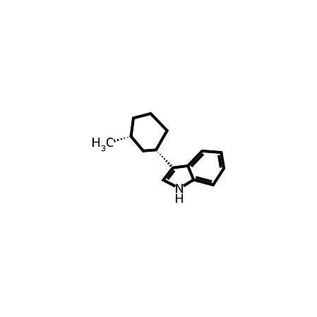 C[C@@H]1CCC[C@H](c2c[nH]c3ccccc23)C1